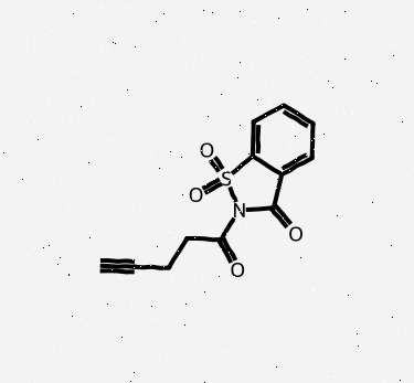 C#CCCC(=O)N1C(=O)c2ccccc2S1(=O)=O